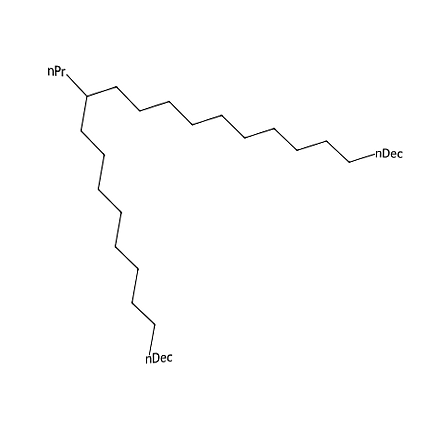 [CH2]CCC(CCCCCCCCCCCCCCCCCC)CCCCCCCCCCCCCCCCCCCC